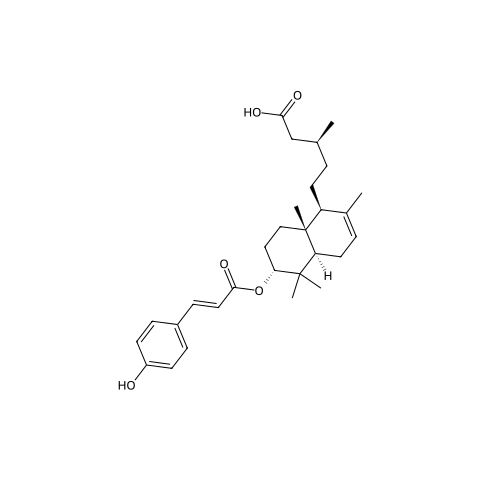 CC1=CC[C@H]2C(C)(C)[C@H](OC(=O)/C=C/c3ccc(O)cc3)CC[C@]2(C)[C@H]1CC[C@H](C)CC(=O)O